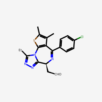 CCc1nnc2n1-c1sc(C)c(C)c1C(c1ccc(Cl)cc1)=N[C@H]2CC=O